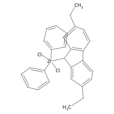 CCc1ccc2c(c1)[CH]([Zr]([Cl])([Cl])([c]1ccccc1)[c]1ccccc1)c1cc(CC)ccc1-2